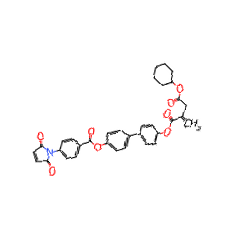 C=C(CC(=O)OC1CCCCC1)C(=O)Oc1ccc(-c2ccc(OC(=O)c3ccc(N4C(=O)C=CC4=O)cc3)cc2)cc1